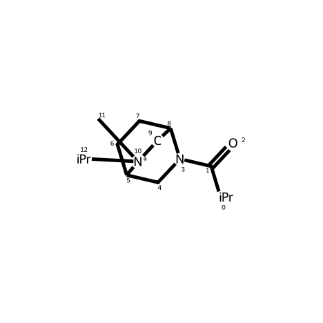 CC(C)C(=O)N1CC2CCC1C[N+]2(C)C(C)C